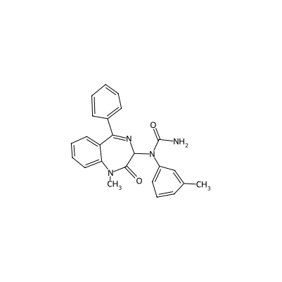 Cc1cccc(N(C(N)=O)C2N=C(c3ccccc3)c3ccccc3N(C)C2=O)c1